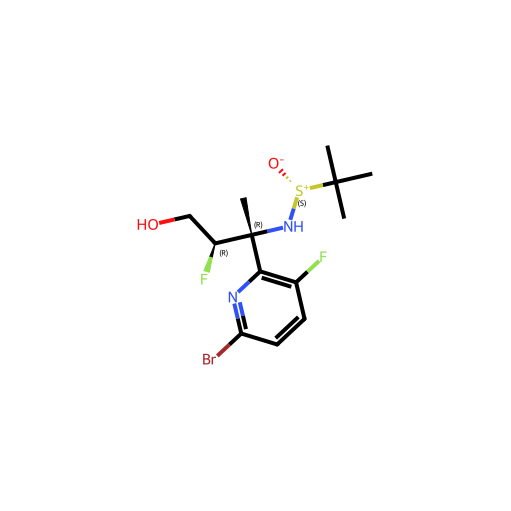 CC(C)(C)[S@@+]([O-])N[C@](C)(c1nc(Br)ccc1F)[C@@H](F)CO